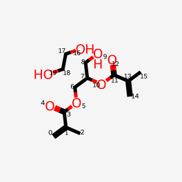 C=C(C)C(=O)OCC(CO)OC(=O)C(=C)C.OCCO